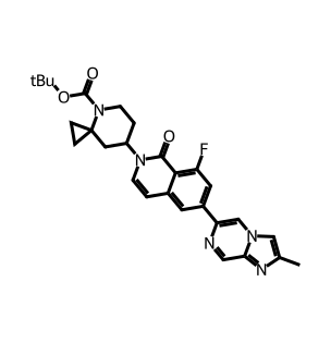 Cc1cn2cc(-c3cc(F)c4c(=O)n(C5CCN(C(=O)OC(C)(C)C)C6(CC6)C5)ccc4c3)ncc2n1